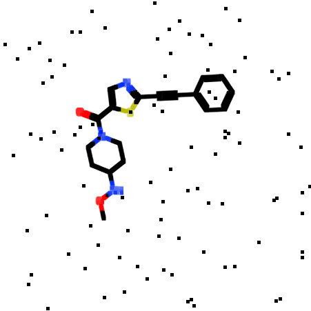 CONC1CCN(C(=O)c2cnc(C#Cc3ccccc3)s2)CC1